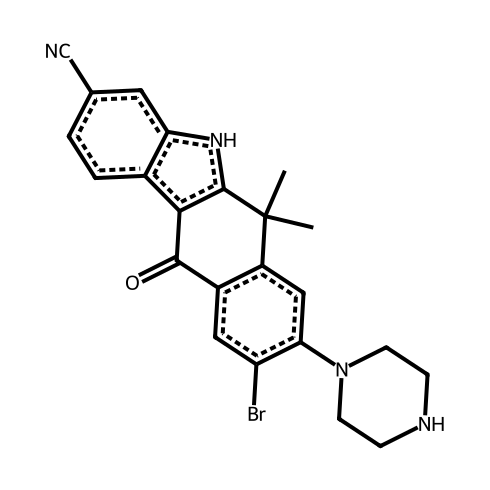 CC1(C)c2cc(N3CCNCC3)c(Br)cc2C(=O)c2c1[nH]c1cc(C#N)ccc21